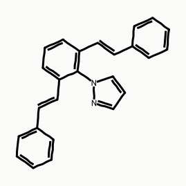 C(=C\c1cccc(/C=C/c2ccccc2)c1-n1cccn1)/c1ccccc1